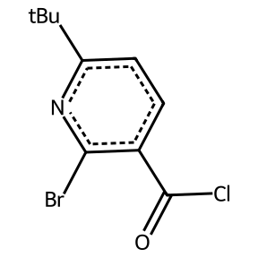 CC(C)(C)c1ccc(C(=O)Cl)c(Br)n1